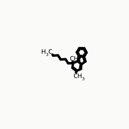 CCCCCCC1(C)C=C(C)[C]=C2C=c3ccccc3=C21